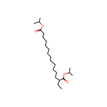 CCC(CCCCCCCCCCCCC(=O)OC(C)C)C(=O)OC(C)C